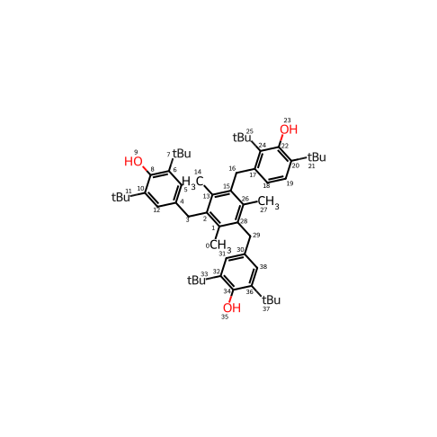 Cc1c(Cc2cc(C(C)(C)C)c(O)c(C(C)(C)C)c2)c(C)c(Cc2ccc(C(C)(C)C)c(O)c2C(C)(C)C)c(C)c1Cc1cc(C(C)(C)C)c(O)c(C(C)(C)C)c1